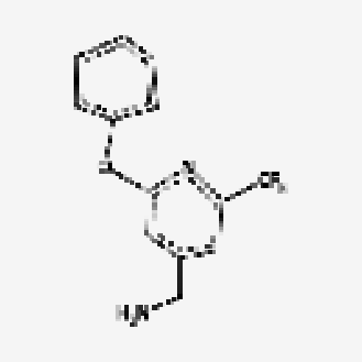 NCc1cc(Oc2ccccc2)nc(C(F)(F)F)c1